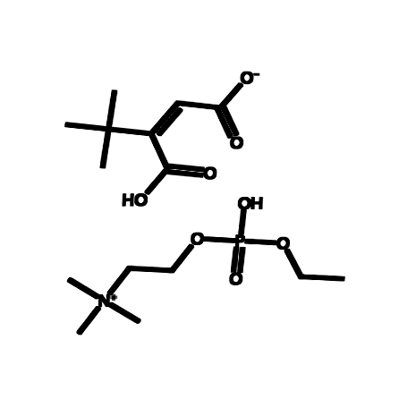 CC(C)(C)/C(=C/C(=O)[O-])C(=O)O.CCOP(=O)(O)OCC[N+](C)(C)C